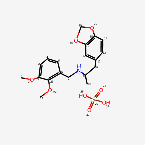 COc1cccc(CNC(C)Cc2ccc3c(c2)OCO3)c1OC.O=S(=O)(O)O